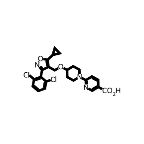 O=C(O)c1ccc(N2CCC(OCc3c(-c4c(Cl)cccc4Cl)noc3C3CC3)CC2)nc1